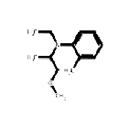 CCN(c1ccccc1C)C(C)COC